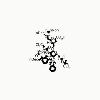 CCCCCCCCCCC[C@H](CC(=O)N[C@@H](CCC(=O)O)CO[C@@H]1O[C@H](COC(=O)OC(C)(C)C(Cl)(Cl)Cl)[C@@H](OP(=O)(Oc2ccccc2)Oc2ccccc2)[C@H](OC(=O)C[C@@H](CCCCCCCCCCC)OC(=O)CCCCCCCCC)[C@@H]1NC(=O)OCC(Cl)(Cl)Cl)OC(=O)CCCCCCCCC